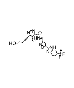 C[C@@H](NC(=O)c1ncnc(C#CCCCO)c1Cl)c1cc(-c2nc3ccc(C(F)(F)F)cc3[nH]2)on1